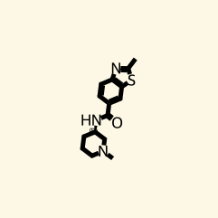 Cc1nc2ccc(C(=O)N[C@@H]3CCCN(C)C3)cc2s1